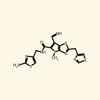 Cn1c(C(=O)NCc2csc(N)n2)c(C=N)c2sc(Cc3cscn3)nc21